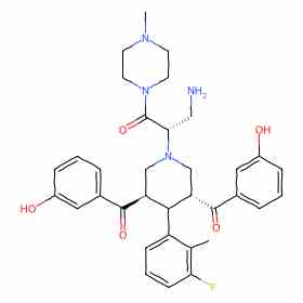 Cc1c(F)cccc1C1[C@@H](C(=O)c2cccc(O)c2)CN([C@@H](CN)C(=O)N2CCN(C)CC2)C[C@@H]1C(=O)c1cccc(O)c1